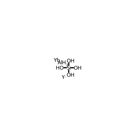 O[Si](O)(O)O.[AlH3].[Y].[Yb]